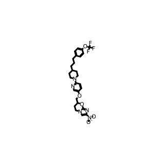 O=[N+]([O-])c1cn2c(n1)OC(COc1ccc(N3CCC(CCCc4ccc(OC(F)(F)F)cc4)CC3)nc1)CC2